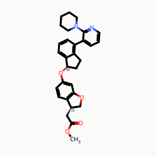 COC(=O)C[C@@H]1COc2cc(O[C@@H]3CCc4c(-c5cccnc5N5CCCCC5)cccc43)ccc21